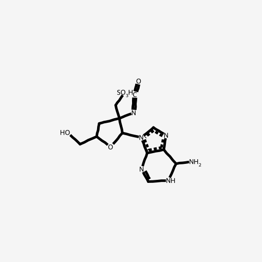 NC1NC=Nc2c1ncn2C1OC(CO)CC1(CS(=O)(=O)O)N=C=O